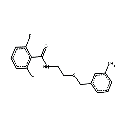 Cc1cccc(CSCCNC(=O)c2c(F)cccc2F)c1